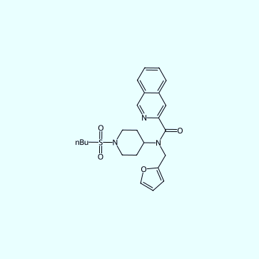 CCCCS(=O)(=O)N1CCC(N(Cc2ccco2)C(=O)c2cc3ccccc3cn2)CC1